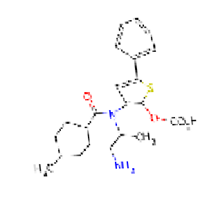 CC1CCC(C(=O)N(c2cc(-c3ccccc3)sc2OC(=O)O)C(C)CN)CC1